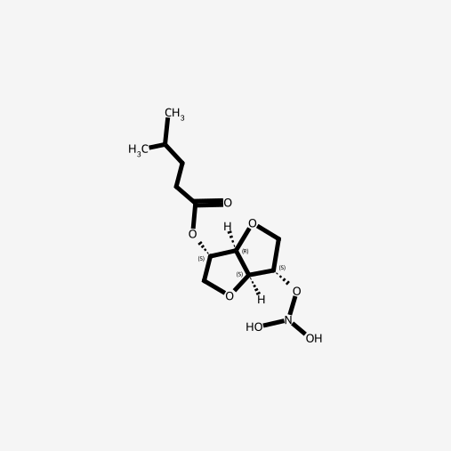 CC(C)CCC(=O)O[C@H]1CO[C@H]2[C@@H]1OC[C@@H]2ON(O)O